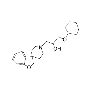 OC(COC1CCCCC1)CN1CCC2(CC1)COc1ccccc12